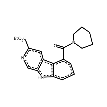 CCOC(=O)c1cc2c(cn1)[nH]c1cccc(C(=O)N3CCCCC3)c12